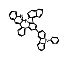 c1ccc(-n2c3ccccc3c3cc(-c4cc5c6c(c4)c4c7ccccc7ccc4n6-c4nc6ccccc6cc4-c4ccccc4-5)ccc32)cc1